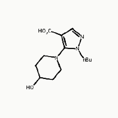 CCCCn1ncc(C(=O)O)c1N1CCC(O)CC1